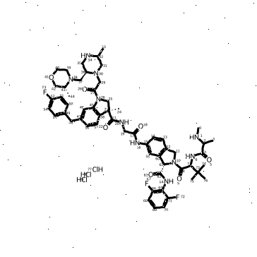 CNC(C)C(=O)NC(C(=O)N1Cc2ccc(NC(=O)CNC(=O)[C@]3(C)CN(C(=O)CN4CC(C)NC[C@@H]4CN4CCOC[C@H]4C)c4cc(Cc5ccc(F)cc5)ccc43)cc2[C@H]1C(=O)Nc1c(F)cccc1F)C(C)(C)C.Cl.Cl.Cl